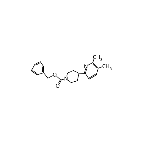 Cc1ccc(C2CCN(C(=O)OCc3ccccc3)CC2)nc1C